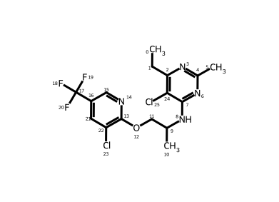 CCc1nc(C)nc(NC(C)COc2ncc(C(F)(F)F)cc2Cl)c1Cl